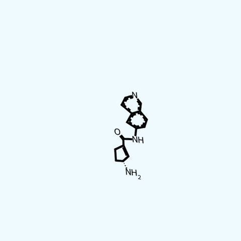 N[C@H]1C=C(C(=O)Nc2ccc3cnccc3c2)CC1